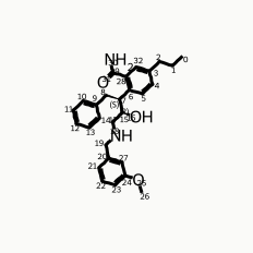 CCCc1ccc([C@H](Cc2ccccc2)[C@@H](O)CNCc2cccc(OC)c2)c(C(N)=O)c1